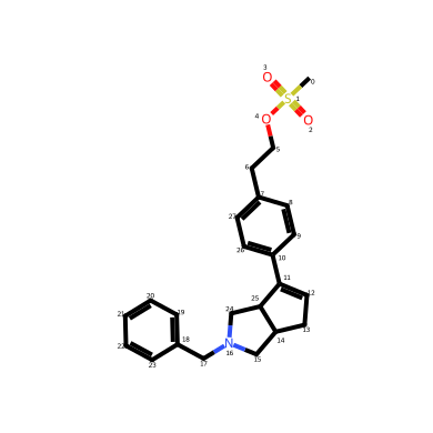 CS(=O)(=O)OCCc1ccc(C2=CCC3CN(Cc4ccccc4)CC23)cc1